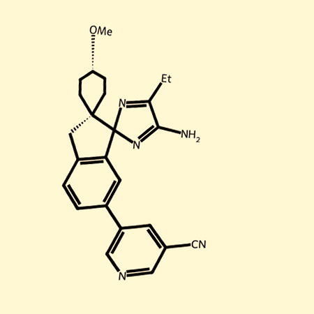 CCC1=NC2(N=C1N)c1cc(-c3cncc(C#N)c3)ccc1C[C@]21CC[C@@H](OC)CC1